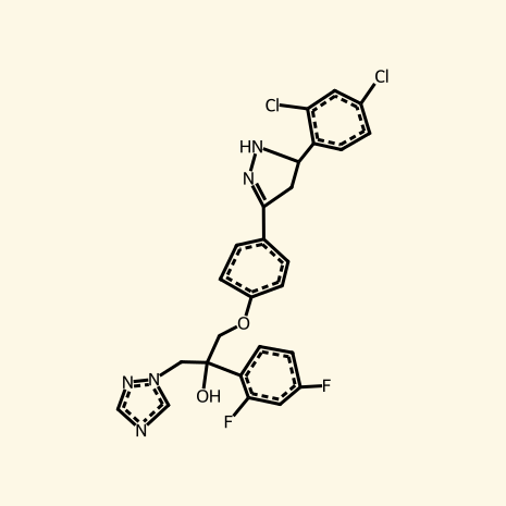 OC(COc1ccc(C2=NNC(c3ccc(Cl)cc3Cl)C2)cc1)(Cn1cncn1)c1ccc(F)cc1F